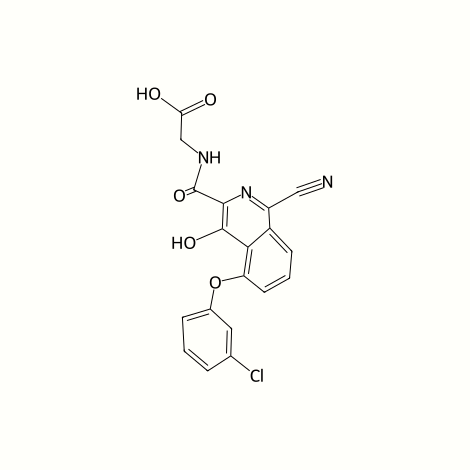 N#Cc1nc(C(=O)NCC(=O)O)c(O)c2c(Oc3cccc(Cl)c3)cccc12